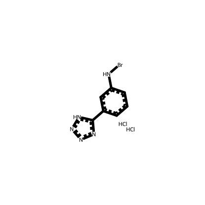 BrNc1cccc(-c2nnn[nH]2)c1.Cl.Cl